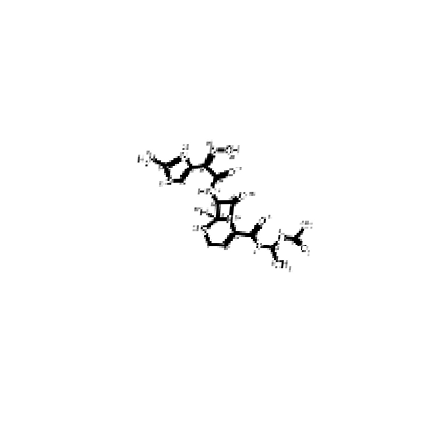 CCC(=O)OC(C)OC(=O)C1=CCS[C@@H]2C(NC(=O)/C(=N\O)c3csc(N)n3)C(=O)N12